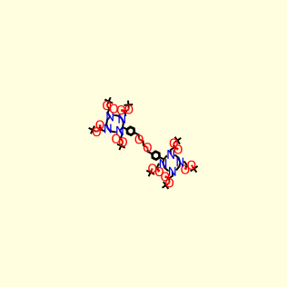 CC(C)(C)OC(=O)CN1CCN(CC(=O)OC(C)(C)C)CCN(CC(=O)OC(C)(C)C)C(c2ccc(COCCOCc3ccc(C4CN(CC(=O)OC(C)(C)C)CCN(CC(=O)OC(C)(C)C)CCN(CC(=O)OC(C)(C)C)CCN4CC(=O)OC(C)(C)C)cc3)cc2)CN(CC(=O)OC(C)(C)C)CC1